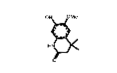 COc1cc2c(cc1N=O)NC(=O)CC2(C)C